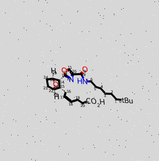 CC(C)(C)CCCCCCNC(=O)c1coc([C@@H]2[C@H](C/C=C\CCC(=O)O)[C@H]3CC[C@@H]2O3)n1